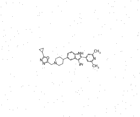 Cc1cc(-c2[nH]c3ccc(C4CCN(Cc5nnc(C6CC6)o5)CC4)cc3c2C(C)C)cc(C)n1